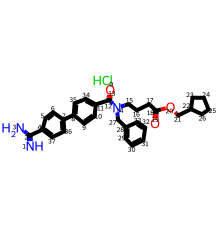 Cl.N=C(N)c1ccc(-c2ccc(C(=O)N(CCCC(=O)OCC3CCCC3)Cc3ccccc3)cc2)cc1